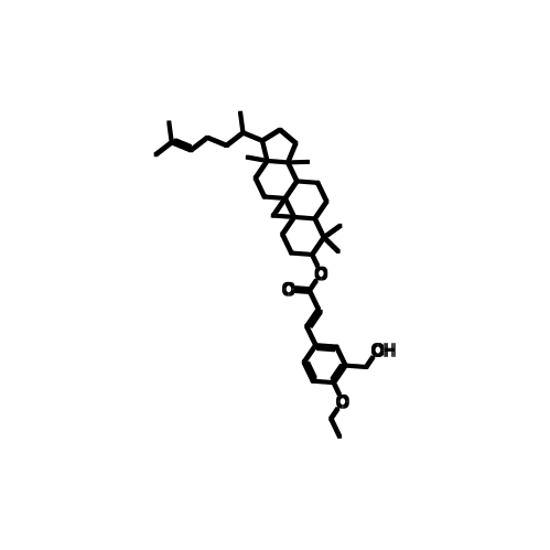 CCOc1ccc(/C=C/C(=O)OC2CCC34CC35CCC3(C)C(C(C)CCC=C(C)C)CCC3(C)C5CCC4C2(C)C)cc1CO